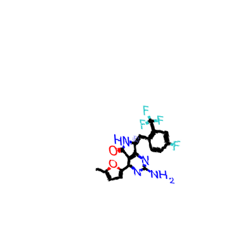 Cc1ccc(-c2nc(N)nc3c2C(=O)N/C3=C/c2ccc(F)cc2C(F)(F)F)o1